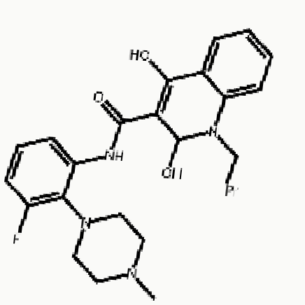 CC(C)CN1c2ccccc2C(O)=C(C(=O)Nc2cccc(F)c2N2CCN(C)CC2)C1O